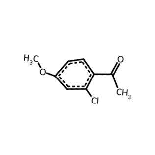 COc1ccc(C(C)=O)c(Cl)c1